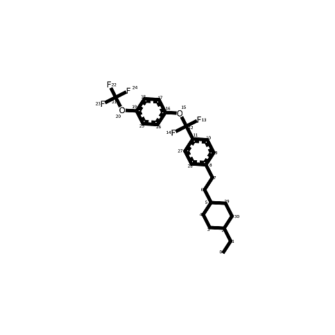 CCC1CCC(CCc2ccc(C(F)(F)Oc3ccc(OC(F)(F)F)cc3)cc2)CC1